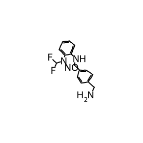 NCc1ccc(CNc2ccccc2N(N=O)C(F)F)cc1